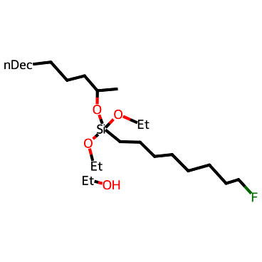 CCCCCCCCCCCCCC(C)O[Si](CCCCCCCCF)(OCC)OCC.CCO